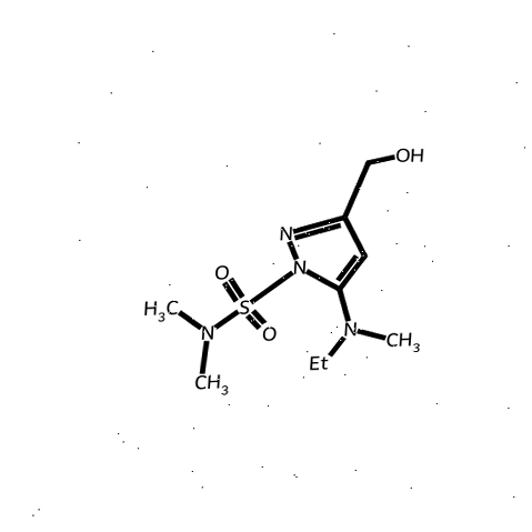 CCN(C)c1cc(CO)nn1S(=O)(=O)N(C)C